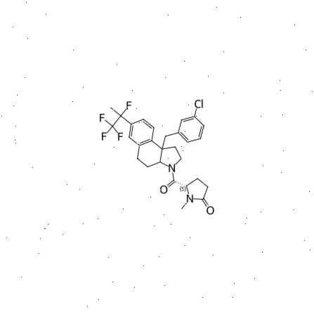 CN1C(=O)CC[C@H]1C(=O)N1CCC2(Cc3cccc(Cl)c3)c3ccc(C(C)(F)C(F)(F)F)cc3CCC12